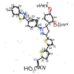 CCCCCCOc1ccc(C2CC(c3ccc(-c4ccc(/C=C(\C#N)C(=O)O)s4)s3)=NN2c2ccc(-c3nc4ccc(C)cc4s3)cc2)c(OCCCCCC)c1